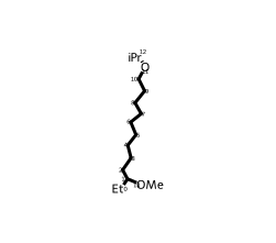 [CH2]CC(CCCCCCCCCOC(C)C)OC